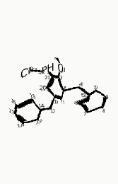 COc1c(CC2C=CC=CC2)cc(CC2C=CC=CC2)cc1PCl